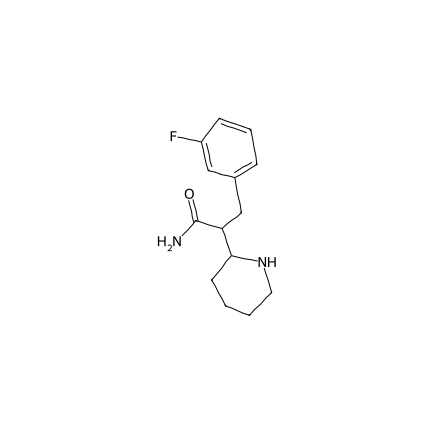 NC(=O)C(Cc1cccc(F)c1)C1CCCCN1